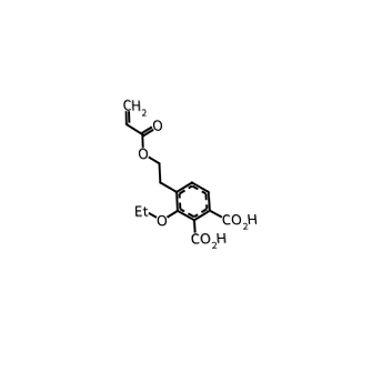 C=CC(=O)OCCc1ccc(C(=O)O)c(C(=O)O)c1OCC